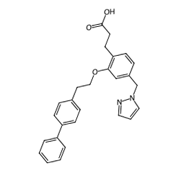 O=C(O)CCc1ccc(Cn2cccn2)cc1OCCc1ccc(-c2ccccc2)cc1